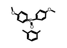 COc1ccc([PH](=O)c2ccc(OC)cc2)cc1.Cc1cccc(C)c1